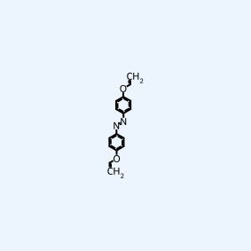 C=COc1ccc(N=Nc2ccc(OC=C)cc2)cc1